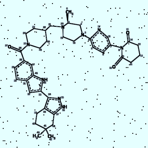 C[C@H]1CN(c2ccc(N3C(=O)CCCC3=O)cn2)CCN1CC1CCN(C(=O)c2ccc3cc(-c4n[nH]c5c4CCC(C)(C)C5)[nH]c3c2)CC1